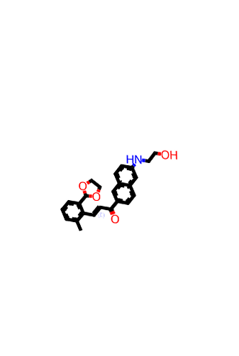 Cc1cccc(C2OCCO2)c1/C=C/C(=O)c1ccc2cc(NCCO)ccc2c1